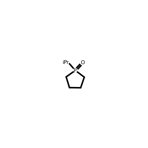 CC(C)P1(=O)CCCC1